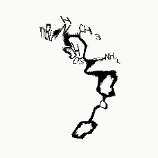 CCCCNC(=O)[C@H](C)C[C@H](O)[C@@H](N)Cc1cccc(OCc2ccccc2)c1